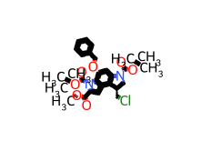 COC(=O)c1cc2c3c(cc(OCc4ccccc4)c2n1C(=O)OC(C)(C)C)N(C(=O)OC(C)(C)C)C[C@H]3CCl